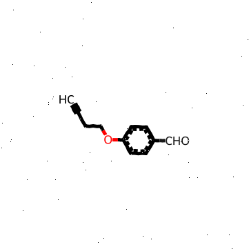 C#CCCOc1ccc(C=O)cc1